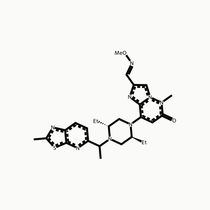 CC[C@H]1CN(C(C)c2ccc3nc(C)sc3n2)[C@H](CC)CN1c1cc(=O)n(C)n2cc(/C=N/OC)nc12